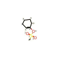 CS(=O)(=O)OC1=CCCCC1